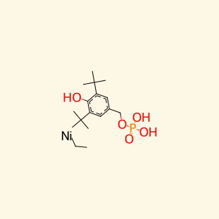 CC(C)(C)c1cc(COP(=O)(O)O)cc(C(C)(C)C)c1O.C[CH2][Ni]